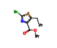 CC(C)Cc1sc(Br)nc1C(=O)OC(C)C